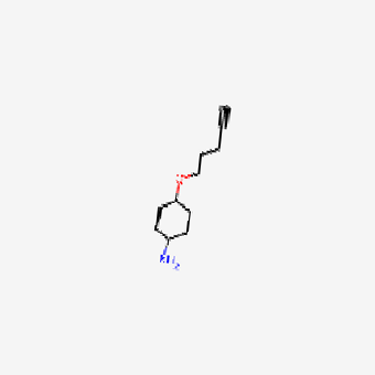 C#CCCCOC1CCC(N)CC1